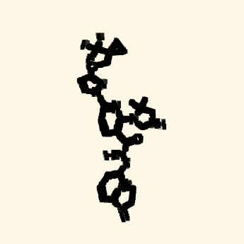 CC1(C)CNCN1c1nc(-n2ccc(OCC3(C(F)(F)F)CC3)n2)ccc1C(=O)NSc1cccc2[n+]1CCN2